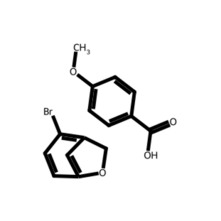 Brc1ccc2cc1CO2.COc1ccc(C(=O)O)cc1